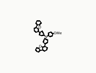 COc1ccc(N(c2ccc(-c3cccc4c3oc3ccccc34)cc2)c2ccc(-c3cccc4c3oc3ccccc34)cc2)cc1